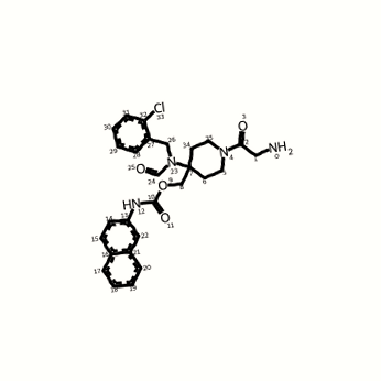 NCC(=O)N1CCC(COC(=O)Nc2ccc3ccccc3c2)(N(C=O)Cc2ccccc2Cl)CC1